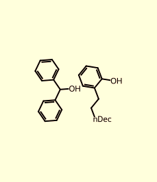 CCCCCCCCCCCCc1ccccc1O.OC(c1ccccc1)c1ccccc1